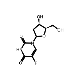 O=c1[nH]c(=O)n(C2C[C@@H](O)[C@@H](CO)O2)cc1F